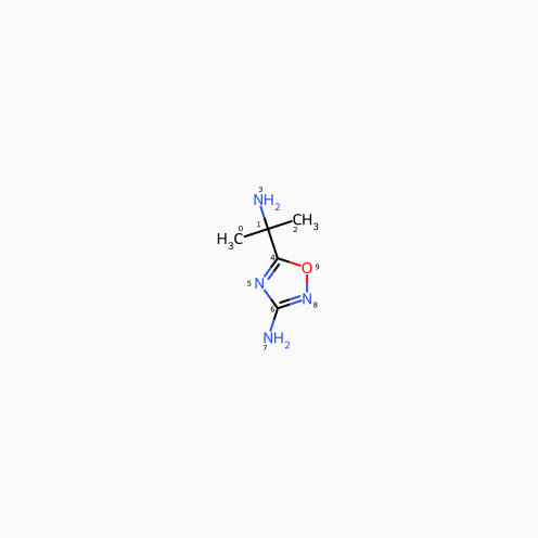 CC(C)(N)c1nc(N)no1